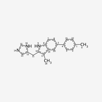 Cc1ccc(-c2ccc3[nH]c(Cc4cnc[nH]4)c(C)c3c2)cc1